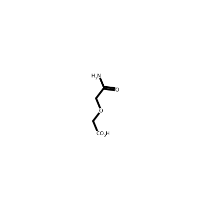 NC(=O)COCC(=O)O